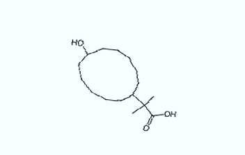 CC(C)(C(=O)O)C1CCCCCC(O)CCCCC1